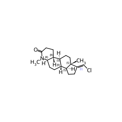 CN1C(=O)CC[C@@H]2[C@H]3CC[C@]4(C)/C(=C/Cl)CC[C@H]4[C@@H]3CC[C@H]21